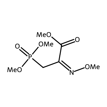 CON=C(CP(=O)(OC)OC)C(=O)OC